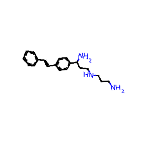 NCCCNCCC(N)c1ccc(/C=C/c2ccccc2)cc1